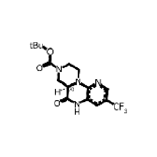 CC(C)(C)OC(=O)N1CCN2c3ncc(C(F)(F)F)cc3NC(=O)[C@H]2C1